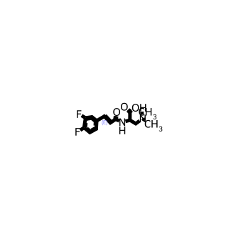 CN(C)CC(NC(=O)/C=C/c1ccc(F)c(F)c1)C(=O)O